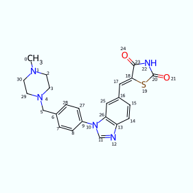 CN1CCN(Cc2ccc(-n3cnc4ccc(/C=C5\SC(=O)NC5=O)cc43)cc2)CC1